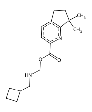 CC1(C)CCc2ccc(C(=O)OCNCC3CCC3)nc21